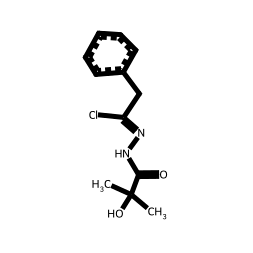 CC(C)(O)C(=O)NN=C(Cl)Cc1ccccc1